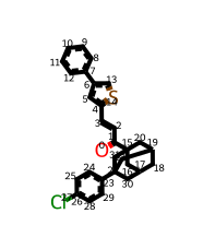 O=C(C=Cc1cc(-c2ccccc2)cs1)C12CC3CC(C1)CC(c1ccc(Cl)cc1)(C3)C2